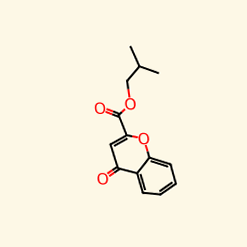 CC(C)COC(=O)c1cc(=O)c2ccccc2o1